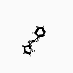 C1=CN=C(N=Nc2ccccc2)C1